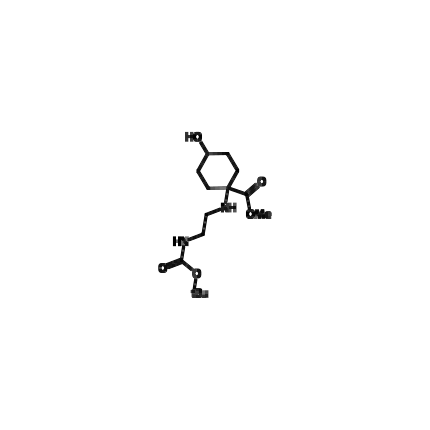 COC(=O)C1(NCCNC(=O)OC(C)(C)C)CCC(O)CC1